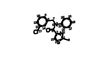 Cc1nc(C(=O)N(Cc2cccc(Cl)c2)c2ccccc2)cs1